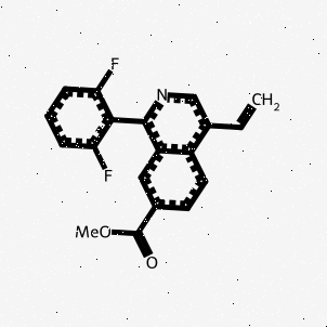 C=Cc1cnc(-c2c(F)cccc2F)c2cc(C(=O)OC)ccc12